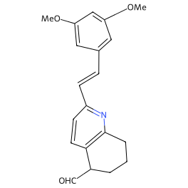 COc1cc(C=Cc2ccc3c(n2)CCCC3C=O)cc(OC)c1